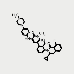 CN1CCN(c2ccc(Nc3cc(-c4cccc(-n5c(C6CC6)cc6cccc(F)c6c5=O)c4CO)cn(C)c3=O)nc2)CC1